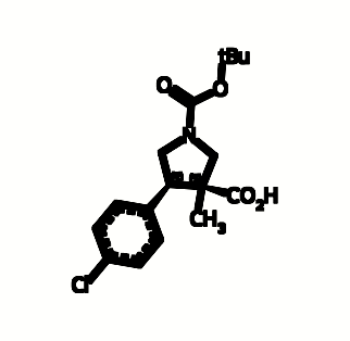 CC(C)(C)OC(=O)N1C[C@H](c2ccc(Cl)cc2)[C@](C)(C(=O)O)C1